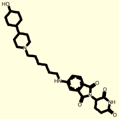 O=C1CCC(N2C(=O)c3ccc(NCCCCCCN4CCC(C5CCC(O)CC5)CC4)cc3C2=O)C(=O)N1